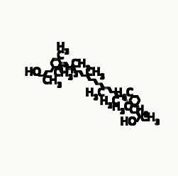 CC1=CC[C@H](C/C=C(\C)CO)C(C)(C)[C@@H]1/C=C/C(C)=C/C=C/C(C)=C/C=C/C=C(C)/C=C/C=C(C)/C=C/[C@@H]1C(C)=CC[C@H](C/C=C(\C)CO)C1(C)C